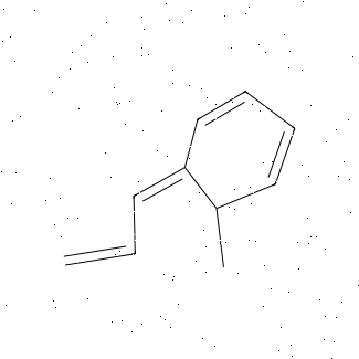 C=C/C=C1/C=CC=CC1C